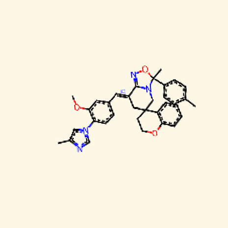 COc1cc(/C=C2\CC3(CCOc4ccccc43)CN3C2=NOC3(C)c2ccc(C)cc2)ccc1-n1cnc(C)c1